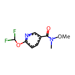 CON(C)C(=O)c1ccc(OC(F)F)nc1